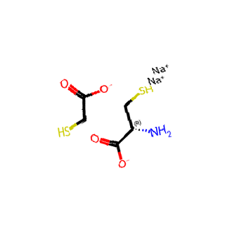 N[C@@H](CS)C(=O)[O-].O=C([O-])CS.[Na+].[Na+]